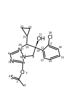 CC(=S)Oc1ncnn1C[C@@](O)(c1ccccc1Cl)C(C)C1CC1